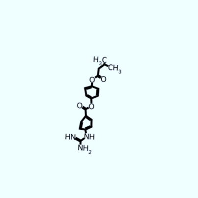 CC(C)CC(=O)Oc1ccc(OC(=O)c2ccc(NC(=N)N)cc2)cc1